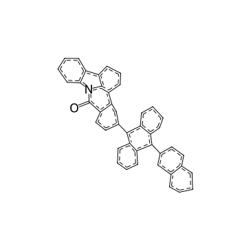 O=c1c2ccc(-c3c4ccccc4c(-c4ccc5ccccc5c4)c4ccccc34)cc2c2cccc3c4ccccc4n1c23